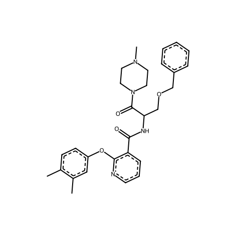 Cc1ccc(Oc2ncccc2C(=O)NC(COCc2ccccc2)C(=O)N2CCN(C)CC2)cc1C